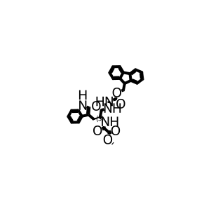 COC(=O)C(=O)N[C@@H](Cc1c[nH]c2ccccc12)C(=O)NNC(=O)OCC1c2ccccc2-c2ccccc21